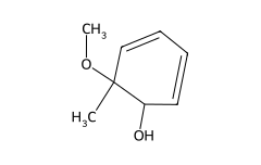 COC1(C)C=CC=CC1O